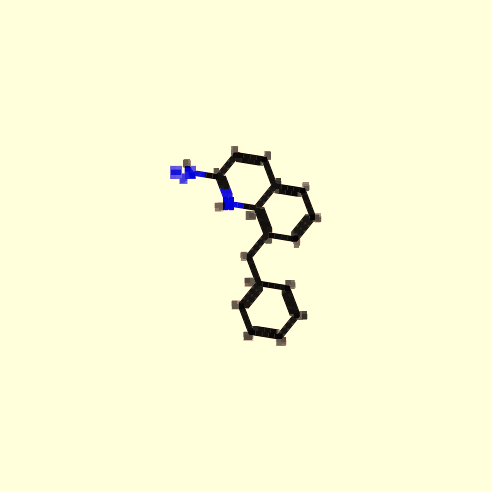 Nc1ccc2cccc(Cc3ccccc3)c2n1